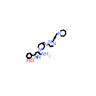 Nc1nnc(-c2ccccc2O)cc1N1CCC2CC(C1)N(c1ccnc(C#CCN3CCCCCC3)n1)C2